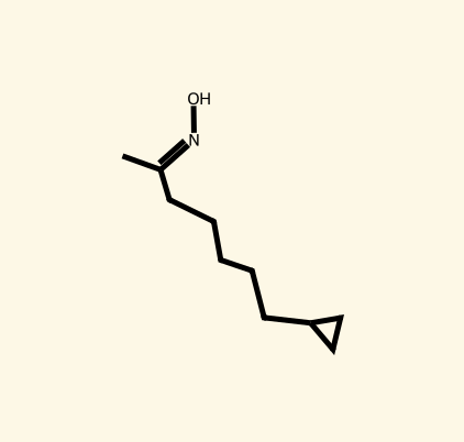 CC(CCCCCC1CC1)=NO